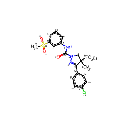 CCOC(=O)C1(C)CN(C(=O)Nc2cccc(S(C)(=O)=O)c2)N=C1c1ccc(Cl)cc1